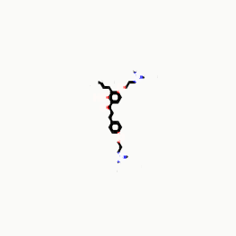 CCN(CC)CCCOc1ccc(/C=C/C(=O)c2ccc(OCCCN(CC)CC)c(CC=C(C)C)c2O)cc1